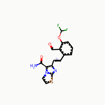 NC(=O)c1c(/C=C/c2cccc(OC(F)F)c2C=O)nc2sccn12